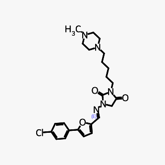 CN1CCN(CCCCCN2C(=O)CN(/N=C/c3ccc(-c4ccc(Cl)cc4)o3)C2=O)CC1